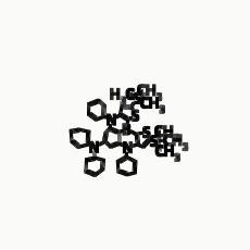 C[Si](C)(C)c1cc2c(s1)B1c3sc([Si](C)(C)C)cc3N(c3ccccc3)c3cc(N(c4ccccc4)c4ccccc4)cc(c31)N2c1ccccc1